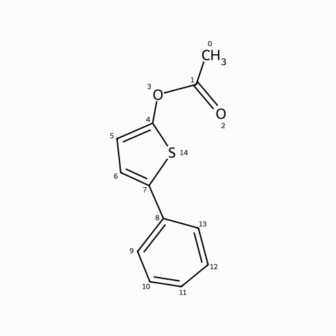 CC(=O)Oc1ccc(-c2ccccc2)s1